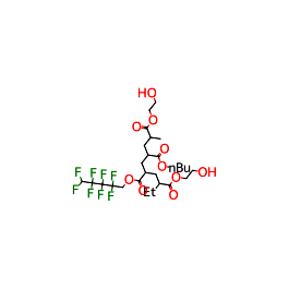 CCCCOC(=O)C(CC(C)C(=O)OCCO)CC(CC(CC)C(=O)OCCO)C(=O)OCC(F)(F)C(F)(F)C(F)(F)C(F)F